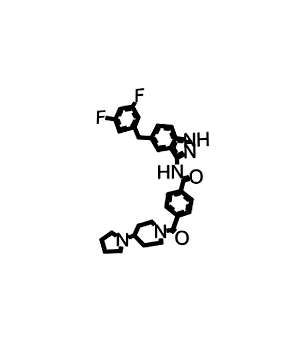 O=C(Nc1n[nH]c2ccc(Cc3cc(F)cc(F)c3)cc12)c1ccc(C(=O)N2CCC(N3CCCC3)CC2)cc1